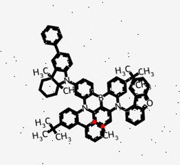 Cc1cc2c3c(c1)N(c1cccc4oc5ccccc5c14)c1cc(C(C)(C)C)ccc1B3c1ccc(N3c4ccc(-c5ccccc5)cc4C4(C)CCCCC34C)cc1N2c1ccc(C(C)(C)C)cc1-c1ccccc1